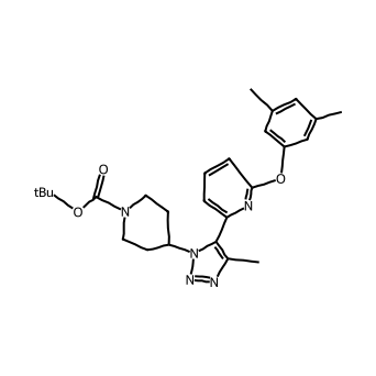 Cc1cc(C)cc(Oc2cccc(-c3c(C)nnn3C3CCN(C(=O)OC(C)(C)C)CC3)n2)c1